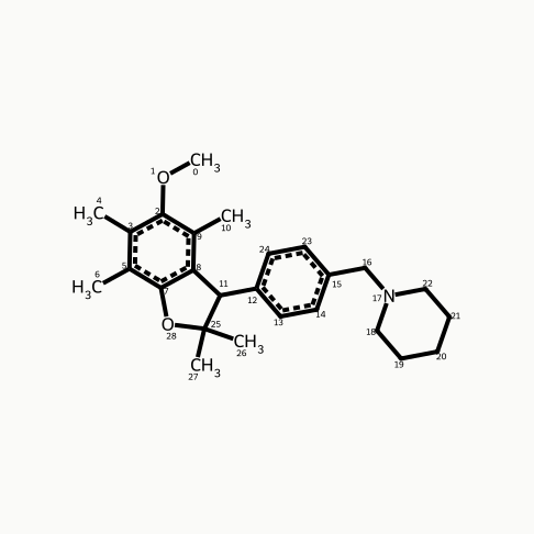 COc1c(C)c(C)c2c(c1C)C(c1ccc(CN3CCCCC3)cc1)C(C)(C)O2